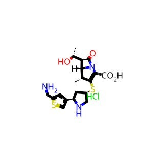 C[C@@H](O)[C@H]1C(=O)N2C(C(=O)O)=C(S[C@@H]3CN[C@@H](c4csc(CN)c4)C3)[C@H](C)[C@H]12.Cl